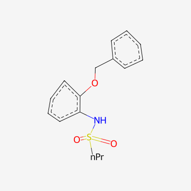 CCCS(=O)(=O)Nc1ccccc1OCc1ccccc1